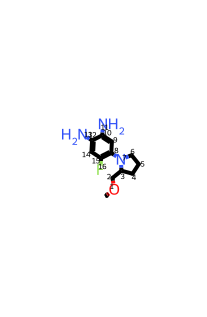 COCC1CCCN1c1cc(N)c(N)cc1F